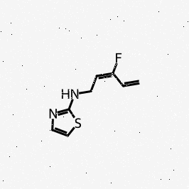 C=C/C(F)=C\CNc1nccs1